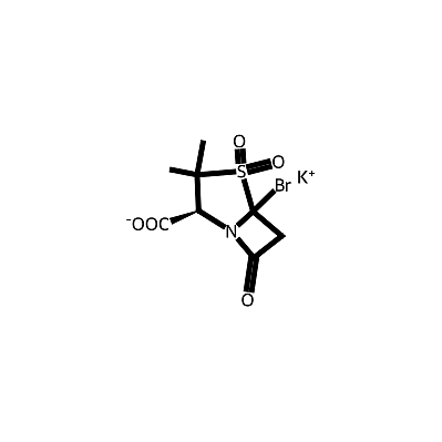 CC1(C)[C@H](C(=O)[O-])N2C(=O)CC2(Br)S1(=O)=O.[K+]